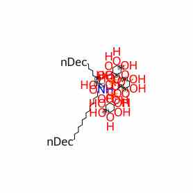 CCCCCCCCCCCCCCCCCCCCCCC(O)C(=O)N[C@@H](COP(=O)(O)O[C@H]1C(O)C(O)C(O)[C@@H](O)C1O[C@H]1O[C@H](COP(=O)(O)OC2C(O)C(O)C(O)[C@@H](O)C2O)[C@@H](O)C(O)C1O)[C@H](O)[C@H](O)CCCCCCCCCCCCCC